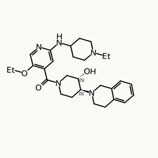 CCOc1cnc(NC2CCN(CC)CC2)cc1C(=O)N1CC[C@H](N2CCc3ccccc3C2)[C@@H](O)C1